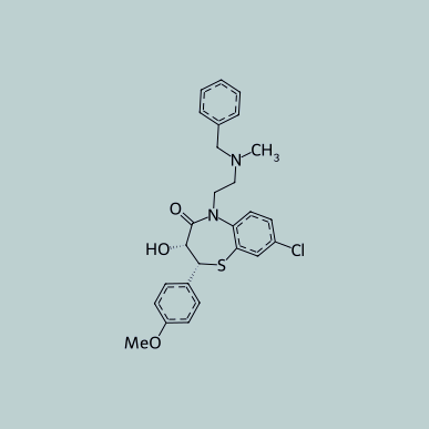 COc1ccc([C@H]2Sc3cc(Cl)ccc3N(CCN(C)Cc3ccccc3)C(=O)[C@H]2O)cc1